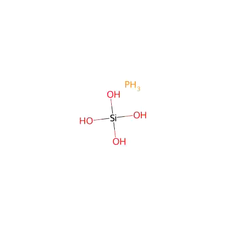 O[Si](O)(O)O.P